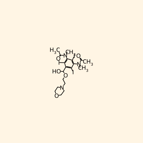 CC(=O)N(C)c1c(I)c(C(O)OCCN2CCOCC2)c(I)c(N(C)C(C)=O)c1I